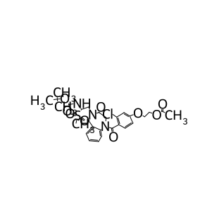 CC(=O)OCCOc1ccc(C(=O)N2CC(=O)N(CC(NC(=O)OC(C)(C)C)S(C)(=O)=O)Cc3ccccc32)c(Cl)c1